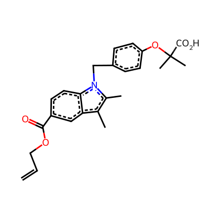 C=CCOC(=O)c1ccc2c(c1)c(C)c(C)n2Cc1ccc(OC(C)(C)C(=O)O)cc1